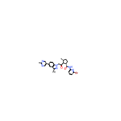 CC(=O)c1nn(CC(=O)C2[C@@H](C)CC[C@H]2C(=O)Nc2cccc(Br)n2)c2ccc(-c3cnc(C)nc3)cc12